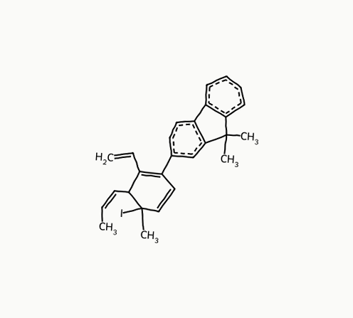 C=CC1=C(c2ccc3c(c2)C(C)(C)c2ccccc2-3)C=CC(C)(I)C1/C=C\C